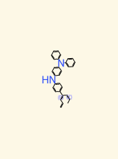 C=C/C=C(\C=C/C)c1ccc(Nc2ccc(N(c3ccccc3)c3ccccc3)cc2)cc1